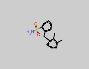 Cc1cccc(Cc2ccccc2S(N)(=O)=O)c1C